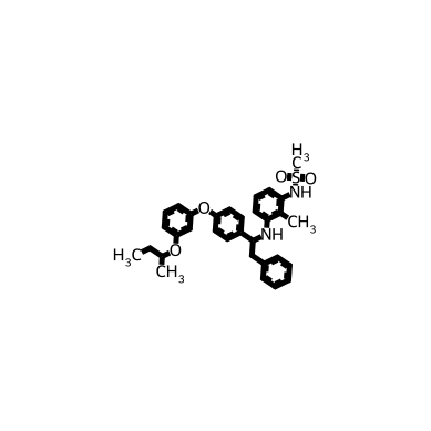 CCC(C)Oc1cccc(Oc2ccc(C(Cc3ccccc3)Nc3cccc(NS(C)(=O)=O)c3C)cc2)c1